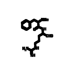 CNC(Cc1ccccc1)C(=O)NC(C=O)CCCNC(=N)N